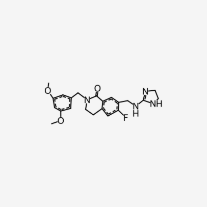 COc1cc(CN2CCc3cc(F)c(CNC4=NCCN4)cc3C2=O)cc(OC)c1